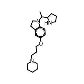 CC(C1CCCN1)N1CCc2cc(OCCCN3CCCCC3)ccc21